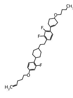 C=CCCCOc1ccc(C2CCC(CCc3ccc(C4=CCC(OCCCC)CC4)c(F)c3F)CC2)c(F)c1